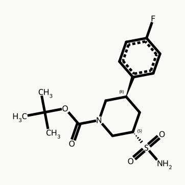 CC(C)(C)OC(=O)N1C[C@@H](c2ccc(F)cc2)C[C@H](S(N)(=O)=O)C1